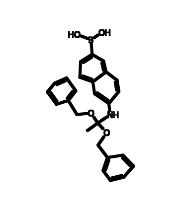 CC(Nc1ccc2cc(B(O)O)ccc2c1)(OCc1ccccc1)OCc1ccccc1